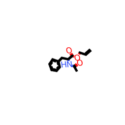 C=CCOC(=O)C(Cc1ccccc1)NC(C)=O